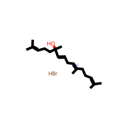 Br.CC(C)=CCC/C(C)=C/CC=CC(C)(O)CCC=C(C)C